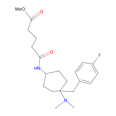 COC(=O)CCCC(=O)NC1CCC(Cc2ccc(F)cc2)(N(C)C)CC1